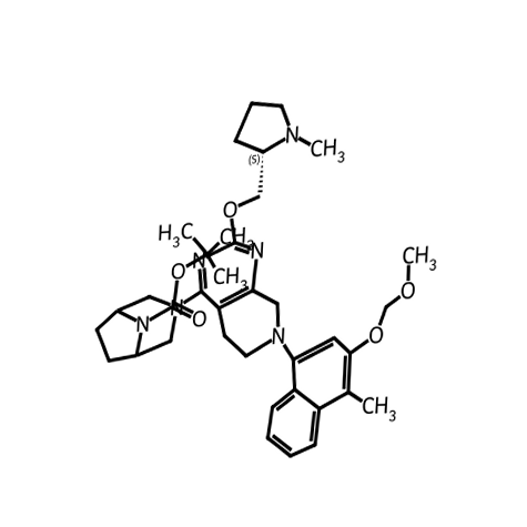 COCOc1cc(N2CCc3c(nc(OC[C@@H]4CCCN4C)nc3N3CC4CCC(C3)N4C(=O)OC(C)(C)C)C2)c2ccccc2c1C